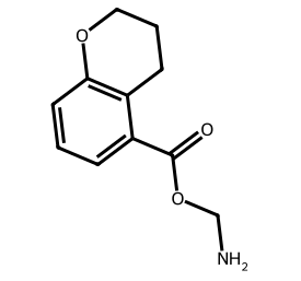 NCOC(=O)c1cccc2c1CCCO2